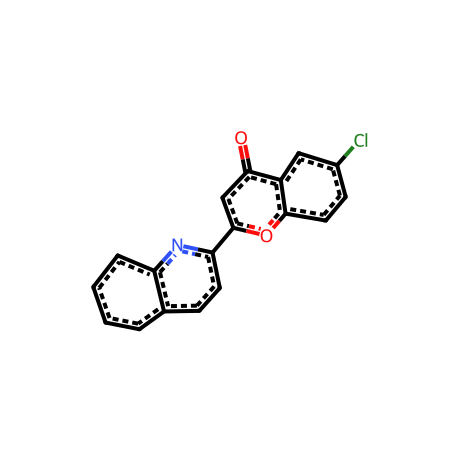 O=c1cc(-c2ccc3ccccc3n2)oc2ccc(Cl)cc12